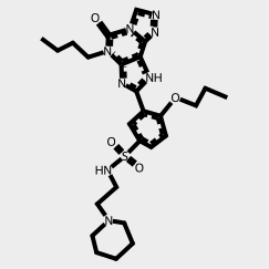 CCCCn1c(=O)n2cnnc2c2[nH]c(-c3cc(S(=O)(=O)NCCN4CCCCC4)ccc3OCCC)nc21